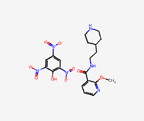 COc1ncccc1C(=O)NCCC1CCNCC1.O=[N+]([O-])c1cc([N+](=O)[O-])c(O)c([N+](=O)[O-])c1